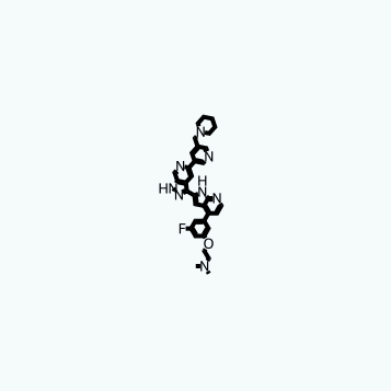 CN(C)CCOc1cc(F)cc(-c2ccnc3[nH]c(-c4n[nH]c5cnc(-c6cncc(CN7CCCCC7)c6)cc45)cc23)c1